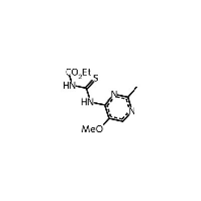 CCOC(=O)NC(=S)Nc1nc(C)ncc1OC